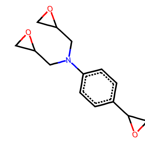 c1cc(N(CC2CO2)CC2CO2)ccc1C1CO1